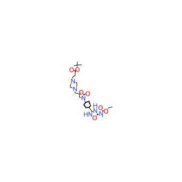 CCOC(=O)N(C)C(=O)NC(=N)c1ccc(N2CC(CN3CCN(CCC(=O)OC(C)(C)C)CC3)OC2=O)cc1